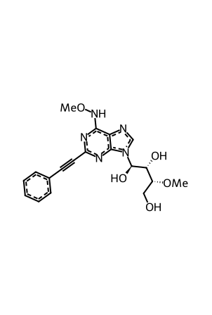 CONc1nc(C#Cc2ccccc2)nc2c1ncn2[C@H](O)[C@H](O)[C@@H](CO)OC